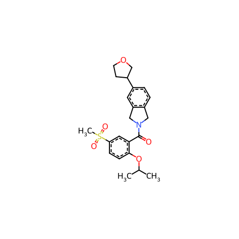 CC(C)Oc1ccc(S(C)(=O)=O)cc1C(=O)N1Cc2ccc(C3CCOC3)cc2C1